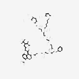 CC[C@@]1(O)C(=O)OCc2c1cc1n(c2=O)Cc2c-1nc1cc3c(c4c1c2[C@@H](NC(=O)COCNC(=O)CNC(=O)[C@H](Cc1ccccc1)NC(=O)CNC(=O)CNC(=O)[C@H](CCC(=O)NC[C@@H]1O[C@H](CO)[C@@H](O)[C@H](O)[C@H]1O)NC(=O)CCCCCN1C(=O)C=CC1=O)CC4)OC(F)(F)O3